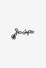 CC1(C)OB(c2ccc(N(c3ccccc3)c3ccc(-c4ccc5c(c4)sc4c6ccc(Br)cc6sc54)cc3)cc2)OC1(C)C